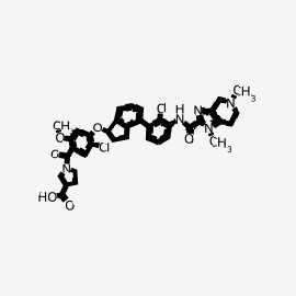 COc1cc(OC2CCc3c(-c4cccc(NC(=O)c5nc6c(n5C)CCN(C)C6)c4Cl)cccc32)c(Cl)cc1C(=O)N1CCC(C(=O)O)C1